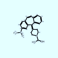 CC(O)N1CCC(=C2c3ccccc3C=Cc3ccc([S+]([O-])C(F)(F)F)cc32)CC1